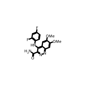 COc1cc2nnc(C(N)=O)c(Nc3ccc(F)cc3F)c2cc1OC